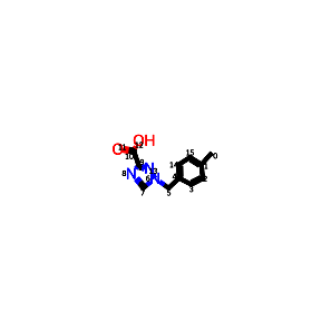 Cc1ccc(Cn2cnc(C(=O)O)n2)cc1